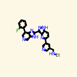 CCNCc1cncc(-c2ccc3[nH]nc(-c4nc5c(-c6ccccc6F)cncc5[nH]4)c3n2)c1